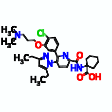 CCc1cc(CC)n(-c2ccc(C(=O)NC3(C(=O)O)CCCCC3)nc2-c2ccc(Cl)c(OCCCN(C)C)c2)n1